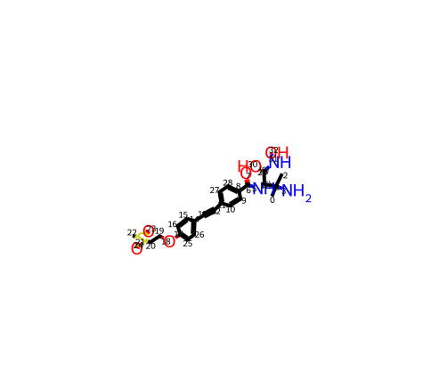 CC(C)(N)[C@H](NC(=O)c1ccc(C#Cc2ccc(OCCS(C)(=O)=O)cc2)cc1)[C@H](O)NO